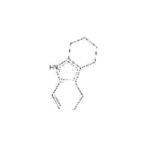 C1=Cc2[nH]c3c(c2CC1)CCCC3